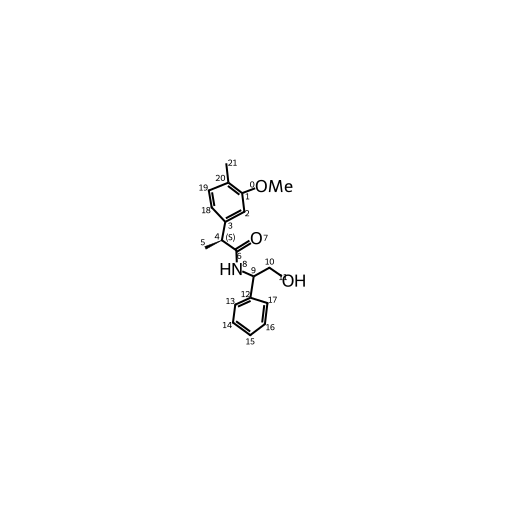 COc1cc([C@H](C)C(=O)NC(CO)c2ccccc2)ccc1C